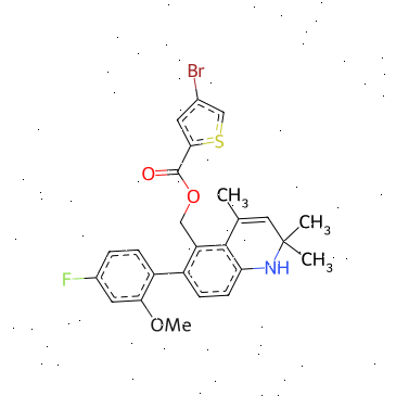 COc1cc(F)ccc1-c1ccc2c(c1COC(=O)c1cc(Br)cs1)C(C)=CC(C)(C)N2